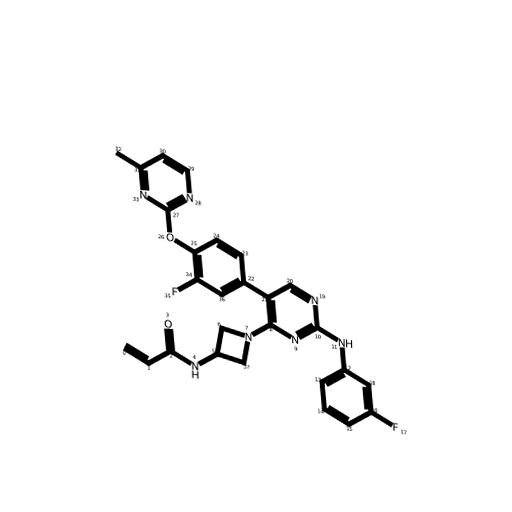 C=CC(=O)NC1CN(c2nc(Nc3cccc(F)c3)ncc2-c2ccc(Oc3nccc(C)n3)c(F)c2)C1